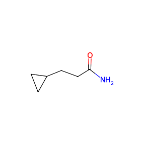 NC(=O)CCC1CC1